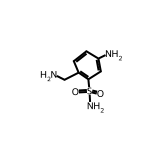 NCc1ccc(N)cc1S(N)(=O)=O